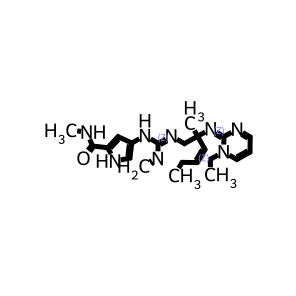 C=N/C(=N\CC(C)(/C=C\CC)/N=c1/ncccn1CC)Nc1c[nH]c(C(=O)NC)c1